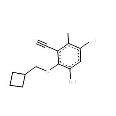 Cc1cc(N)c(NCC2CCC2)c(C#N)c1F